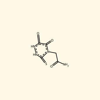 NC(=O)Cn1c(=S)[nH][nH]c(=O)c1=O